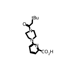 CC(C)(C)CC(=O)N1CCN(c2cccc(C(=O)O)n2)CC1